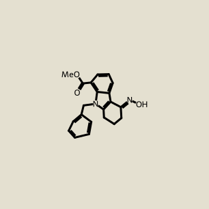 COC(=O)c1cccc2c3c(n(Cc4ccccc4)c12)CCC/C3=N\O